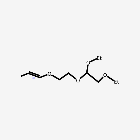 [CH2]COCC(OCC)OCCO/C=C/C